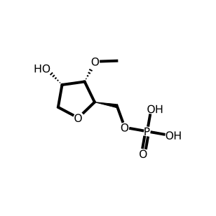 CO[C@H]1[C@@H](O)CO[C@@H]1COP(=O)(O)O